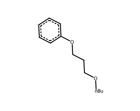 CCCCOC[CH]COc1cc[c]cc1